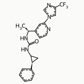 C[C@H](NC(=O)NC1C[C@H]1c1ccccc1)c1ccnc(-n2cnc(C(F)(F)F)c2)c1